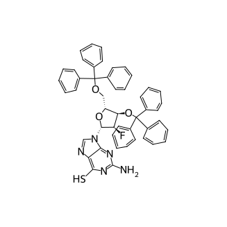 Nc1nc(S)c2ncn([C@@H]3O[C@H](COC(c4ccccc4)(c4ccccc4)c4ccccc4)[C@@H](OC(c4ccccc4)(c4ccccc4)c4ccccc4)[C@H]3F)c2n1